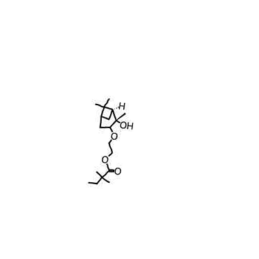 CCC(C)(C)C(=O)OCCOC1CC2C[C@@H](C2(C)C)[C@]1(C)O